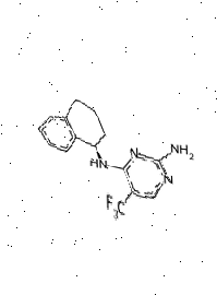 Nc1ncc(C(F)(F)F)c(N[C@@H]2CCCc3ccccc32)n1